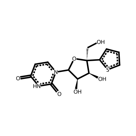 O=c1ccn(C2O[C@@](CO)(c3cccs3)[C@@H](O)[C@H]2O)c(=O)[nH]1